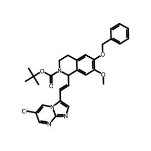 COc1cc2c(cc1OCc1ccccc1)CCN(C(=O)OC(C)(C)C)C2/C=C/c1cnc2ncc(Cl)cn12